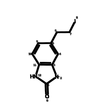 O=C1[N]c2cc(CCI)ccc2N1